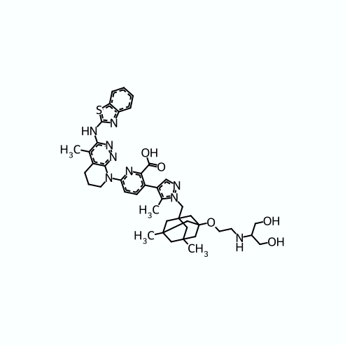 Cc1c(Nc2nc3ccccc3s2)nnc2c1CCCN2c1ccc(-c2cnn(CC34CC5(C)CC(C)(C3)CC(OCCNC(CO)CO)(C5)C4)c2C)c(C(=O)O)n1